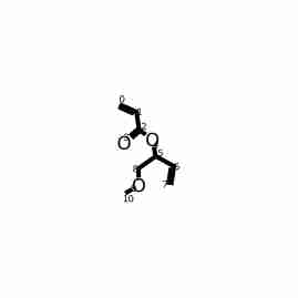 C=CC(=O)OC(C=C)COC